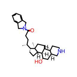 C[C@H](CCC(=O)N1Cc2ccccc2C1)[C@H]1CC[C@H]2[C@@H]3[C@@H](O)C[C@@H]4CNCC[C@]4(C)[C@H]3CC[C@]12C